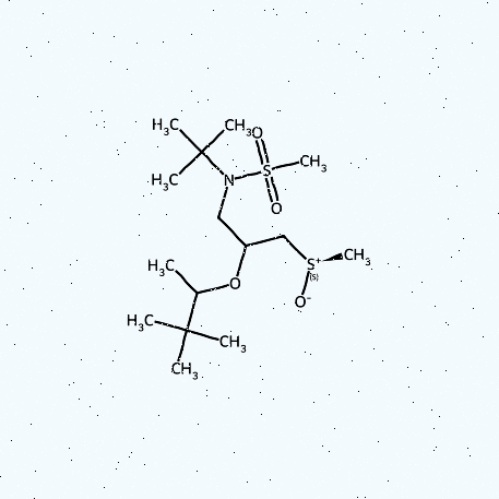 CC(OC(CN(C(C)(C)C)S(C)(=O)=O)C[S@@+](C)[O-])C(C)(C)C